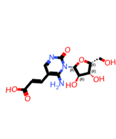 Nc1c(C=CC(=O)O)cnc(=O)n1[C@@H]1O[C@H](CO)[C@H](O)[C@H]1O